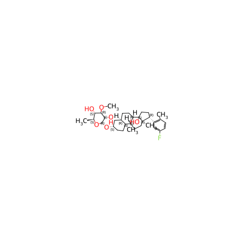 CO[C@H]1[C@H](O)[C@H](O[C@H]2CC[C@@]3(C)[C@H](CC[C@@H]4[C@@H]3CC[C@]3(C)[C@@H](c5cc(F)ccc5C)CC[C@]43O)C2)O[C@@H](C)[C@@H]1O